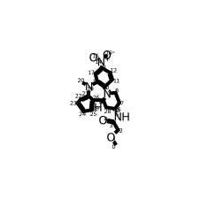 COCC(=O)N[C@@H]1CCN2c3ccc([N+](=O)[O-])cc3N(C)c3ccccc3[C@H]2C1